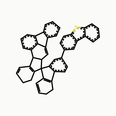 C1=CC2=C(CC1)c1ccc(-c3ccc4sc5ccccc5c4c3)cc1C21C2=C(C=CCC2)C2c3cccc4c3C(=CC21)c1ccccc1-4